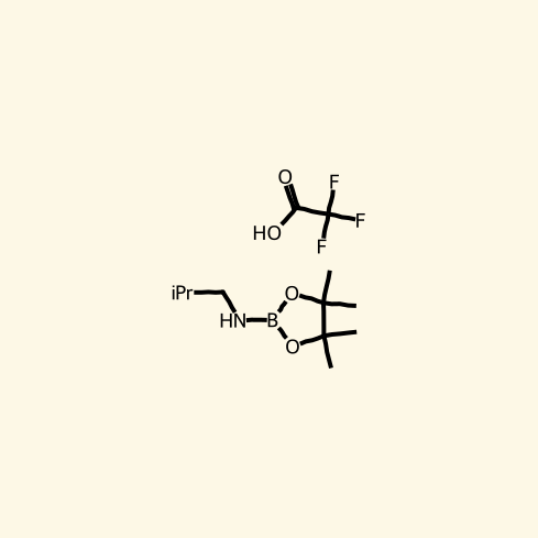 CC(C)CNB1OC(C)(C)C(C)(C)O1.O=C(O)C(F)(F)F